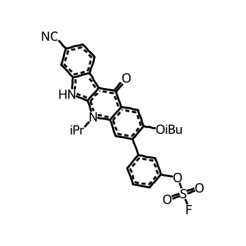 CC(C)COc1cc2c(=O)c3c4ccc(C#N)cc4[nH]c3n(C(C)C)c2cc1-c1cccc(OS(=O)(=O)F)c1